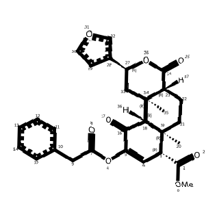 COC(=O)[C@@H]1C=C(OC(=O)Cc2ccccc2)C(=O)[C@H]2[C@@]1(C)CC[C@H]1C(=O)O[C@H](c3ccoc3)C[C@]21C